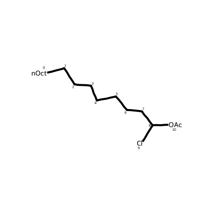 CCCCCCCCCCCCCCCC(Cl)OC(C)=O